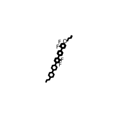 C=CCCOc1ccc(-c2ccc(-c3ccc(C4CCC(C5CCC(CCC)CC5)CC4)c(F)c3F)cc2)c(F)c1F